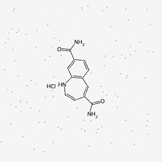 Cl.NC(=O)C1=Cc2ccc(C(N)=O)cc2NC=C1